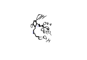 CCOC(OCC)[C@H](O)/C=C/[C@H]1[C@H](O)CC(=O)[C@@H]1C/C=C\CCCC(=O)O